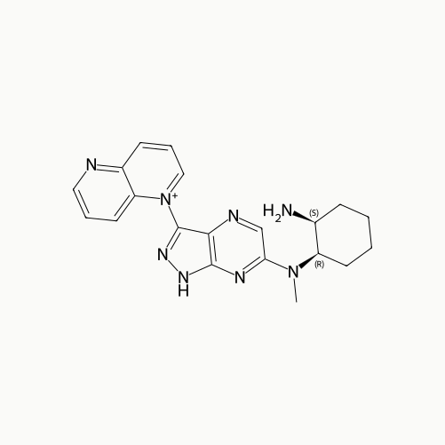 CN(c1cnc2c(-[n+]3cccc4ncccc43)n[nH]c2n1)[C@@H]1CCCC[C@@H]1N